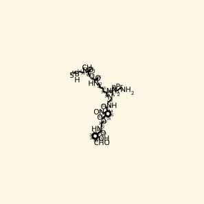 CCCN(CCN)CCN(CCNC(=O)c1cccc(C(=O)OCCNC(=O)c2cccc(C=O)c2O)c1N=O)CC(N)CCCCNC(=O)COCC(=O)N(C)CCBC=S